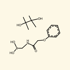 CC(C)(O)C(C)(C)O.O=C(COc1ccccc1)NCB(O)O